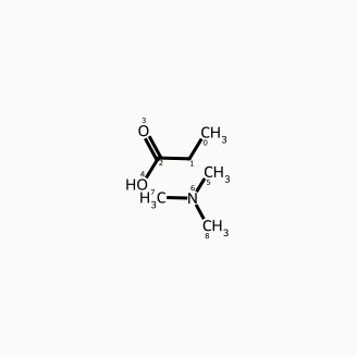 CCC(=O)O.CN(C)C